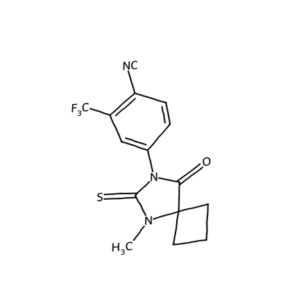 [C-]#[N+]c1ccc(N2C(=O)C3(CCC3)N(C)C2=S)cc1C(F)(F)F